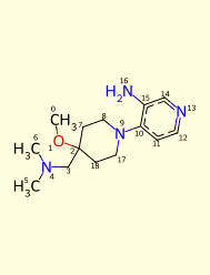 COC1(CN(C)C)CCN(c2ccncc2N)CC1